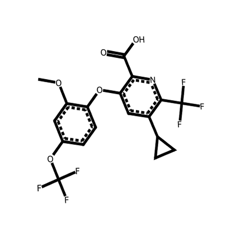 COc1cc(OC(F)(F)F)ccc1Oc1cc(C2CC2)c(C(F)(F)F)nc1C(=O)O